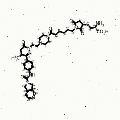 CC1CC(=O)N(CCN2CCN(C(=O)CCCCCN3C(=O)CC(SC[C@H](N)C(=O)O)C3=O)CC2)N=C1c1ccc(NC(=O)N2Cc3ccncc3C2)cc1